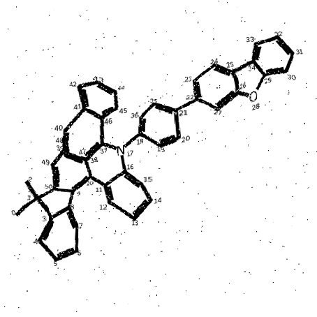 CC1(C)c2ccccc2-c2c(-c3ccccc3N(c3ccc(-c4ccc5c(c4)oc4ccccc45)cc3)c3cccc4ccccc34)cccc21